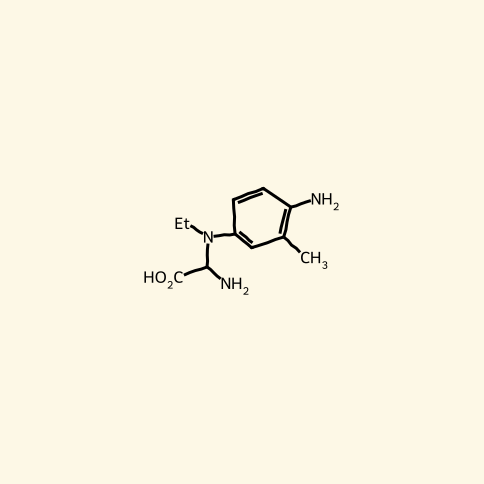 CCN(c1ccc(N)c(C)c1)C(N)C(=O)O